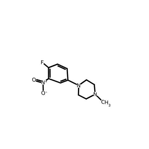 CN1CCN(c2ccc(F)c([N+](=O)[O-])c2)CC1